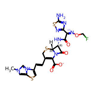 Cn1cc2scc(C=CC3=C(C(=O)[O-])N4C(=O)[C@@H](NC(=O)/C(=N\OCF)c5nsc(N)n5)[C@H]4SC3)[n+]2c1